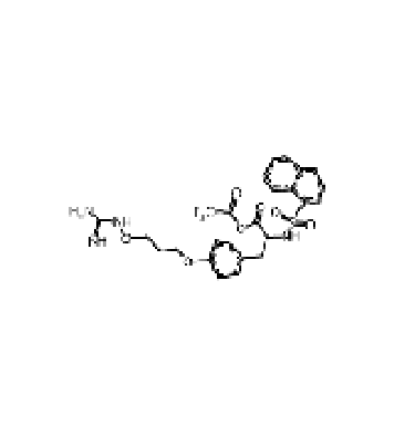 N=C(N)NOCCCOc1ccc(C[C@H](NS(=O)(=O)c2cccc3ccccc23)C(=O)OC(=O)C(F)(F)F)cc1